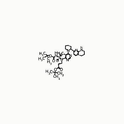 Cc1c(N2CCCCC2c2ccc3c(n2)NCCC3)ncnc1N(CCC(=O)OC(C)(C)C)S(=O)(=O)NC(=O)OC(C)(C)C